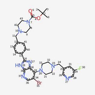 CC(C)(C)OC(=O)N1CCN(Cc2ccc(-c3nc4c(N5CCN(Cc6cncc(F)c6)CC5)c(Br)cnc4[nH]3)cc2)CC1